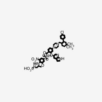 CC1(C)CCC(CN2CCN(c3ccc(C(=O)NS(=O)(=O)c4cc5c(c([N+](=O)[O-])c4)NC(CNC(=O)O)CO5)c(Oc4cnc5[nH]ccc5c4)c3)CC2)=C(c2ccc(Cl)cc2)C1